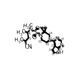 CC(C#N)CC(C)N(C)S(=O)(=O)N1CCN(c2ncnc3[nH]ccc23)CC12CC2